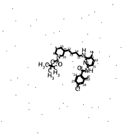 CC(C)(C)OC(=O)N1CCCC(CCCCNc2nc(NC(=O)c3ccc(Cl)cc3F)ccc2I)C1